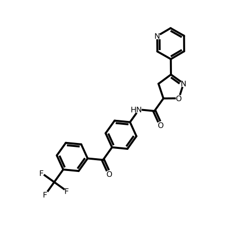 O=C(c1ccc(NC(=O)C2CC(c3cccnc3)=NO2)cc1)c1cccc(C(F)(F)F)c1